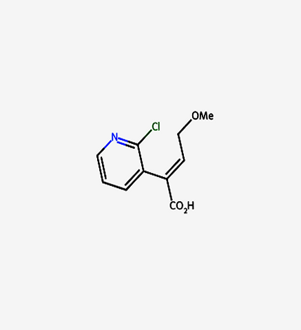 COC/C=C(/C(=O)O)c1cccnc1Cl